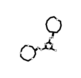 Clc1nc(ON=C2CCCCCCCCCCC2)nc(ON=C2CCCCCCCCCCC2)n1